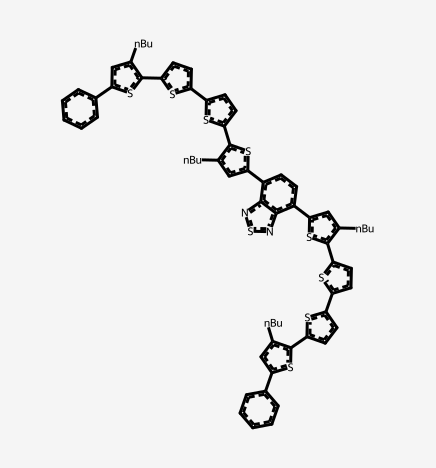 CCCCc1cc(-c2ccccc2)sc1-c1ccc(-c2ccc(-c3sc(-c4ccc(-c5cc(CCCC)c(-c6ccc(-c7ccc(-c8sc(-c9ccccc9)cc8CCCC)s7)s6)s5)c5nsnc45)cc3CCCC)s2)s1